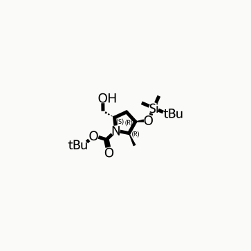 C[C@@H]1[C@H](O[Si](C)(C)C(C)(C)C)C[C@@H](CO)N1C(=O)OC(C)(C)C